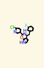 O=C(NC(Cc1cccc(F)c1)c1cc[nH]c1)c1ccc(Cl)nc1